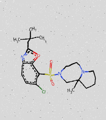 CC(C)(C)c1nc2ccc(Cl)c(S(=O)(=O)N3CCN4CCCC4(C)C3)c2o1